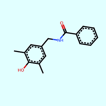 Cc1cc(CNC(=O)c2ccccc2)cc(C)c1O